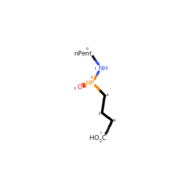 CCCCCN[PH](=O)CCCC(=O)O